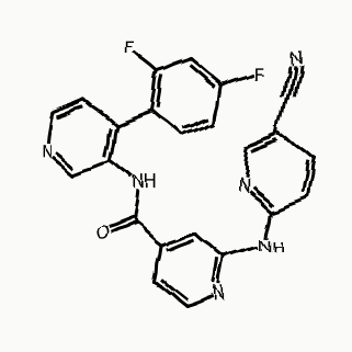 N#Cc1ccc(Nc2cc(C(=O)Nc3cnccc3-c3ccc(F)cc3F)ccn2)nc1